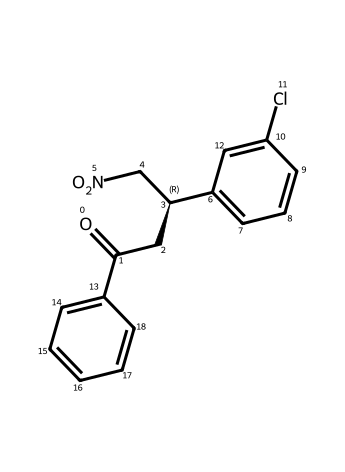 O=C(C[C@@H](C[N+](=O)[O-])c1cccc(Cl)c1)c1ccccc1